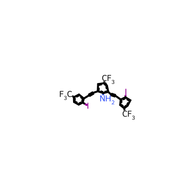 Nc1c(C#Cc2cc(C(F)(F)F)ccc2I)cc(C(F)(F)F)cc1C#Cc1cc(C(F)(F)F)ccc1I